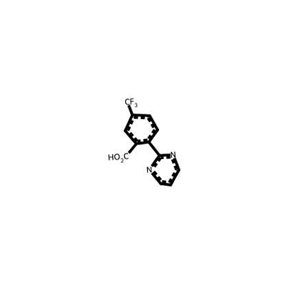 O=C(O)c1cc(C(F)(F)F)ccc1-c1ncccn1